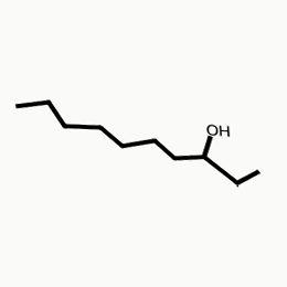 C[CH]C(O)CCCCCCC